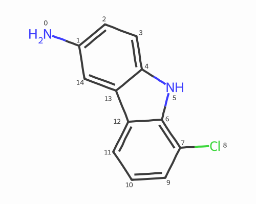 Nc1ccc2[nH]c3c(Cl)cccc3c2c1